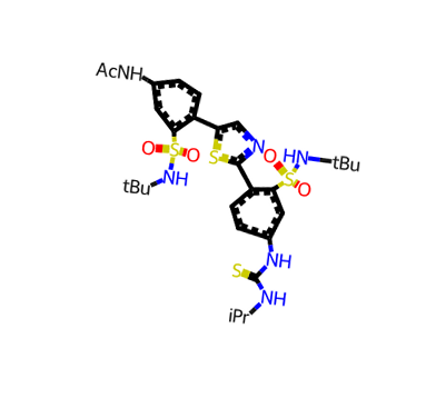 CC(=O)Nc1ccc(-c2cnc(-c3ccc(NC(=S)NC(C)C)cc3S(=O)(=O)NC(C)(C)C)s2)c(S(=O)(=O)NC(C)(C)C)c1